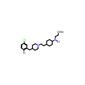 CCN(CCOC)C1CCC(CCN2CCC(Cc3cc(Cl)ccc3Br)CC2)CC1